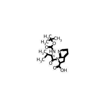 CC(C)[C@H](NC(=O)OC(C)(C)C)C(=O)N1c2ncccc2CC1C(=O)O